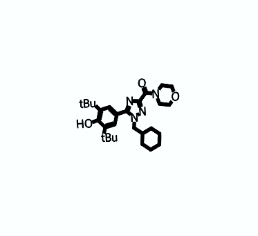 CC(C)(C)c1cc(-c2nc(C(=O)N3CCOCC3)nn2CC2CCCCC2)cc(C(C)(C)C)c1O